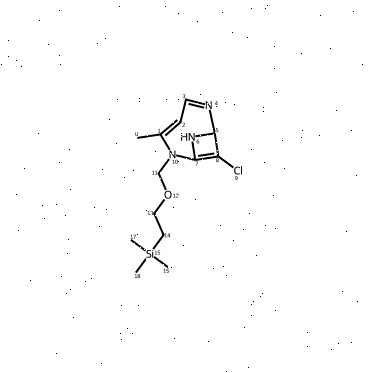 C/C1=C\C=N/C2NC(=C2Cl)N1COCC[Si](C)(C)C